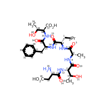 CC(C)C[C@H](NC(=O)[C@H](C)NC(=O)[C@@H](NC(=O)[C@@H](N)CC(=O)O)[C@@H](C)O)C(=O)N[C@@H](Cc1ccccc1)C(=O)N[C@H](C(=O)O)[C@@H](C)O